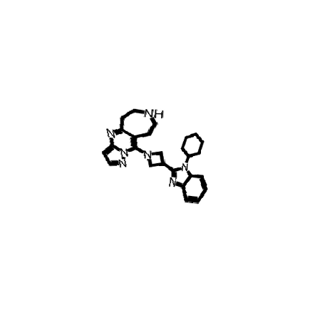 C1=CC2N=C(C3CN(c4c5c(nc6ccnn46)CCNCC5)C3)N(C3CCCCC3)C2C=C1